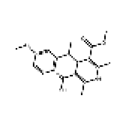 COC(=O)C1=C(C)NC(C)=C(C(=O)O)C1C(C)c1cccc(OC)c1